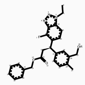 CCn1nnc2c(F)c([C@H](CC(=O)OCc3ccccc3)c3ccc(C)c(CO)c3)ccc21